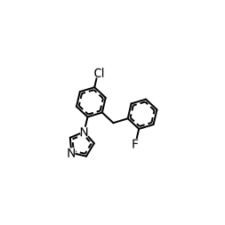 Fc1ccccc1Cc1cc(Cl)ccc1-n1ccnc1